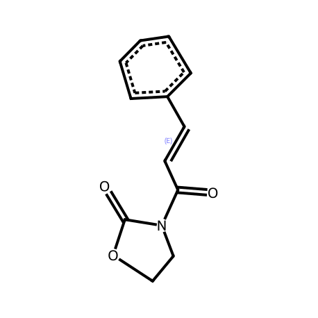 O=C(/C=C/c1ccccc1)N1CCOC1=O